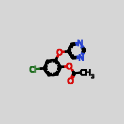 CC(=O)Oc1ccc(Cl)cc1Oc1cncnc1